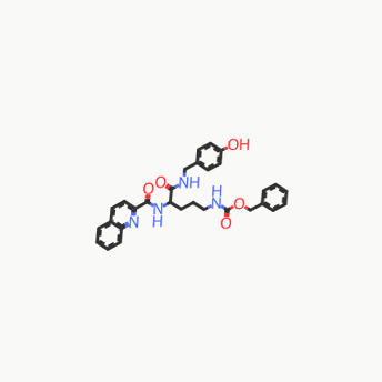 O=C(NCCCC(NC(=O)c1ccc2ccccc2n1)C(=O)NCc1ccc(O)cc1)OCc1ccccc1